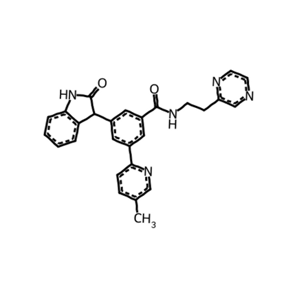 Cc1ccc(-c2cc(C(=O)NCCc3cnccn3)cc(C3C(=O)Nc4ccccc43)c2)nc1